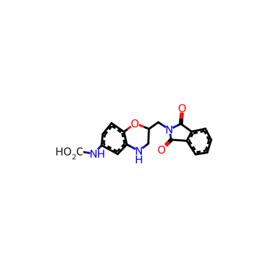 O=C(O)Nc1ccc2c(c1)NCC(CN1C(=O)c3ccccc3C1=O)O2